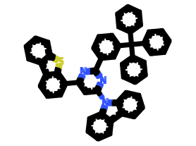 c1ccc(C(c2ccccc2)(c2ccccc2)c2cccc(-c3nc(-c4cccc5c4sc4ccccc45)cc(-n4c5ccccc5c5ccccc54)n3)c2)cc1